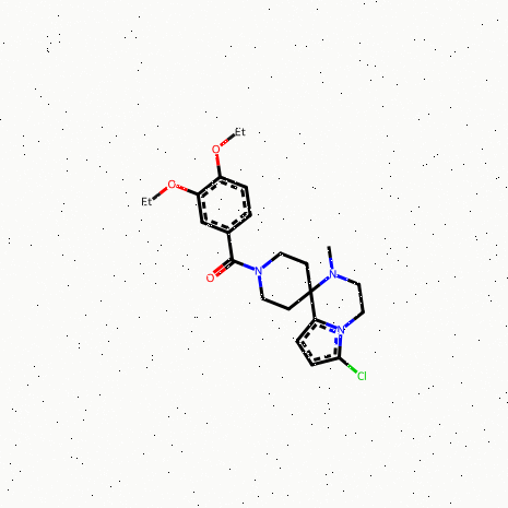 CCOc1ccc(C(=O)N2CCC3(CC2)c2ccc(Cl)n2CCN3C)cc1OCC